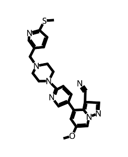 COc1cc(-c2ccc(N3CCN(Cc4ccc(SC)nc4)CC3)nc2)c2c(C#N)cnn2c1